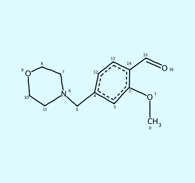 COc1cc(CN2CCOCC2)ccc1C=O